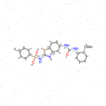 COc1ccccc1NC(=O)Nc1ccc2sc(NS(=O)(=O)c3ccc(C)cc3)nc2c1